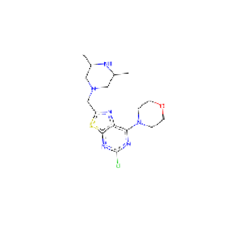 CC1CN(Cc2nc3c(N4CCOCC4)nc(Cl)nc3s2)CC(C)N1